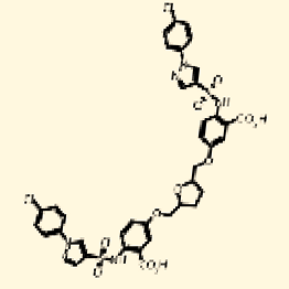 O=C(O)c1cc(OCC2CCC(COc3ccc(NS(=O)(=O)c4cnn(-c5ccc(Cl)cc5)c4)c(C(=O)O)c3)O2)ccc1NS(=O)(=O)c1cnn(-c2ccc(Cl)cc2)c1